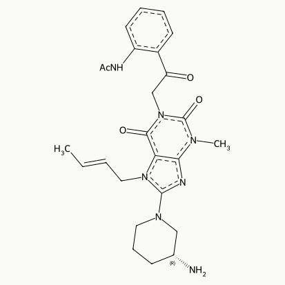 CC=CCn1c(N2CCC[C@@H](N)C2)nc2c1c(=O)n(CC(=O)c1ccccc1NC(C)=O)c(=O)n2C